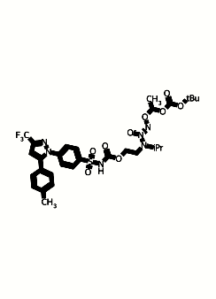 Cc1ccc(-c2cc(C(F)(F)F)nn2-c2ccc(S(=O)(=O)NC(=O)OCCN(C(C)C)/[N+]([O-])=N/OC(C)OC(=O)OC(C)(C)C)cc2)cc1